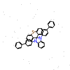 c1ccc(-c2ccc(N3c4ccccc4N(c4ccc(-c5ccccc5)cc4)C34c3ccccc3Sc3ccccc34)cc2)cc1